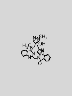 CN(Cc1cnn(C)c1)c1nc(Cn2c(=O)c3ccccc3n3nc(CO)cc23)nc2ccccc12